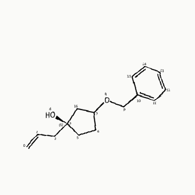 C=CC[C@@]1(O)CCC(OCc2ccccc2)C1